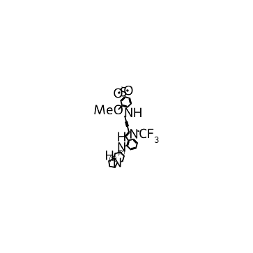 COc1cc(S(C)(=O)=O)ccc1NCC#Cc1cc2c(N[C@@H]3CCN4CCC[C@H]4C3)cccc2n1CC(F)(F)F